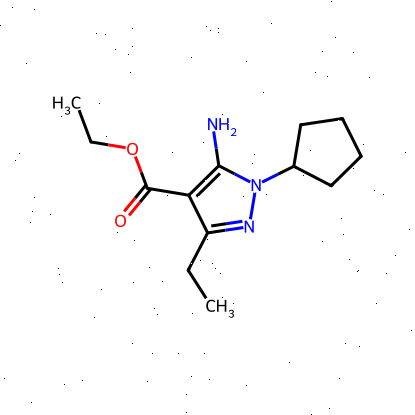 CCOC(=O)c1c(CC)nn(C2CCCC2)c1N